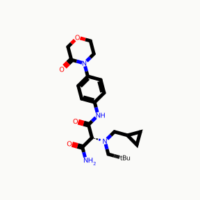 CC(C)(C)CN(CC1CC1)[C@H](C(N)=O)C(=O)Nc1ccc(N2CCOCC2=O)cc1